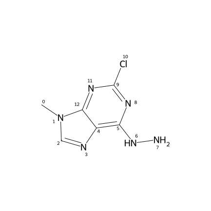 Cn1cnc2c(NN)nc(Cl)nc21